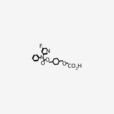 O=C(O)COCC1CCC(COC(=O)N(c2ccccc2)c2cncc(F)c2)CC1